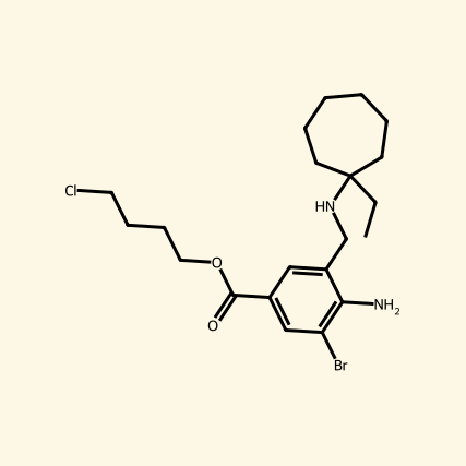 CCC1(NCc2cc(C(=O)OCCCCCl)cc(Br)c2N)CCCCCC1